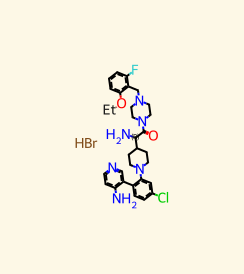 Br.CCOc1cccc(F)c1CN1CCN(C(=O)[C@H](N)C2CCN(c3cc(Cl)ccc3-c3cnccc3N)CC2)CC1